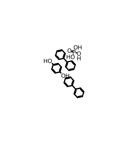 O=P(O)(O)O.Oc1ccc(O)cc1.c1ccc(-c2ccccc2)cc1.c1ccc(-c2ccccc2)cc1